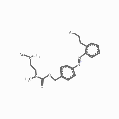 CC(=O)CCc1ccccc1/N=N/c1ccc(COC(=O)N(C)CCN(C)C(C)=O)cc1